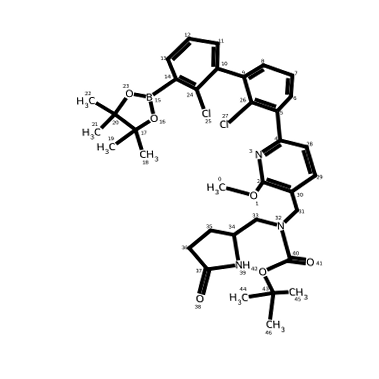 COc1nc(-c2cccc(-c3cccc(B4OC(C)(C)C(C)(C)O4)c3Cl)c2Cl)ccc1CN(CC1CCC(=O)N1)C(=O)OC(C)(C)C